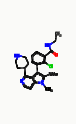 CNc1c(-c2cccc(C(=O)NCC(F)(F)F)c2Cl)c2c(C3CCNCC3)nccc2n1C